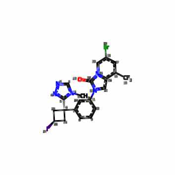 Cn1cnnc1[C@]1(c2cccc(-n3cc4c(C(F)(F)F)cc(Br)cn4c3=O)c2)C[C@@H](I)C1